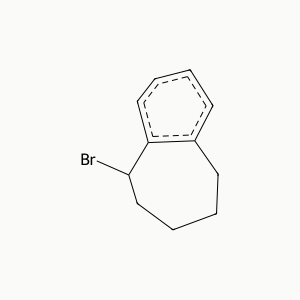 BrC1CCCCc2ccccc21